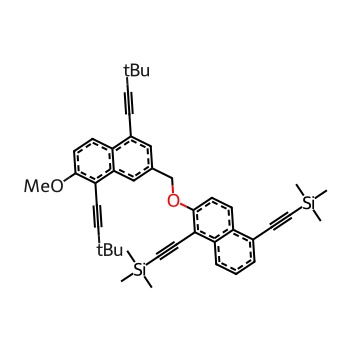 COc1ccc2c(C#CC(C)(C)C)cc(COc3ccc4c(C#C[Si](C)(C)C)cccc4c3C#C[Si](C)(C)C)cc2c1C#CC(C)(C)C